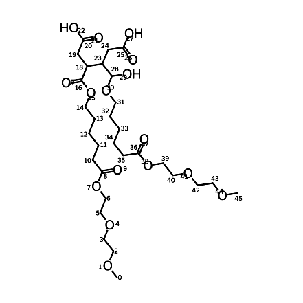 COCCOCCOC(=O)CCCCCOC(=O)C(CC(=O)O)C(CC(=O)O)C(O)OCCCCCC(=O)OCCOCCOC